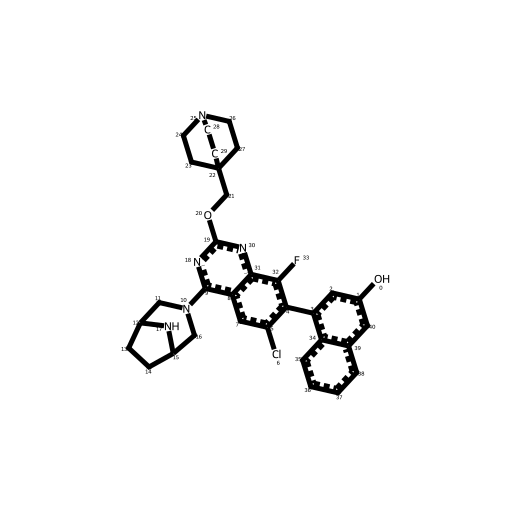 Oc1cc(-c2c(Cl)cc3c(N4CC5CCC(C4)N5)nc(OCC45CCN(CC4)CC5)nc3c2F)c2ccccc2c1